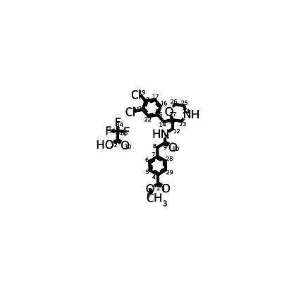 COC(=O)c1ccc(CC(=O)NCC2(Cc3ccc(Cl)c(Cl)c3)CNCCO2)cc1.O=C(O)C(F)(F)F